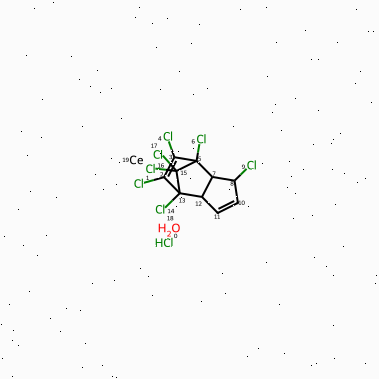 Cl.ClC1=C(Cl)C2(Cl)C3C(Cl)C=CC3C1(Cl)C2(Cl)Cl.O.[Ce]